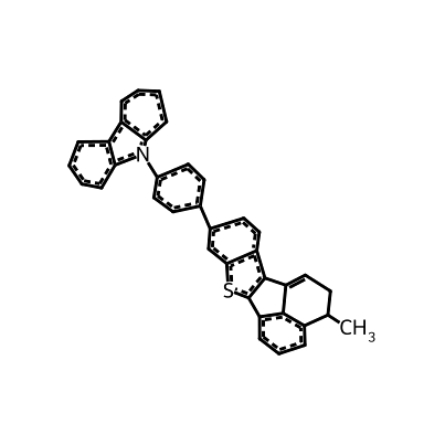 CC1CC=C2c3c(cccc31)-c1sc3cc(-c4ccc(-n5c6ccccc6c6ccccc65)cc4)ccc3c12